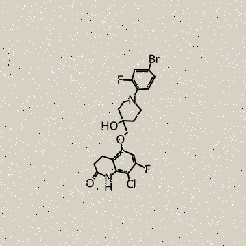 O=C1CCc2c(OCC3(O)CCN(c4ccc(Br)cc4F)CC3)cc(F)c(Cl)c2N1